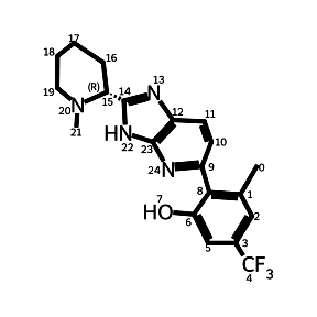 Cc1cc(C(F)(F)F)cc(O)c1-c1ccc2nc([C@H]3CCCCN3C)[nH]c2n1